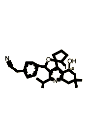 CC(C)c1nc2c(c3c1C(c1ccc(CC#N)cc1)OC31CCCC1I)[C@@H](O)CC(C)(C)C2